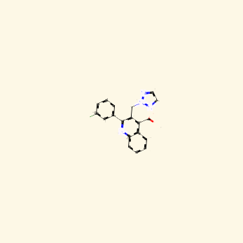 O=C(O)c1c(Cn2nccn2)c(-c2cccc(F)c2)nc2ccccc12